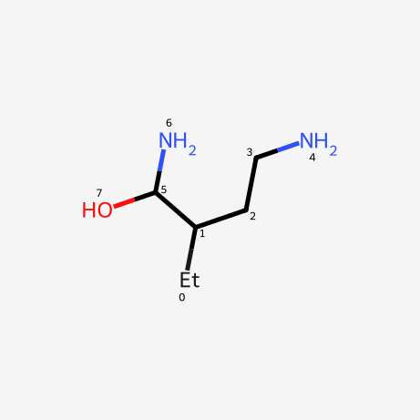 CCC(CCN)C(N)O